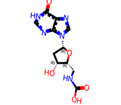 O=C(O)NC[C@H]1O[C@@H](n2cnc3c(=O)[nH]cnc32)C[C@H]1O